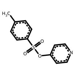 Cc1ccc(S(=O)(=O)Oc2ccncc2)cc1